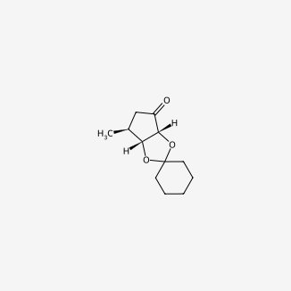 C[C@H]1CC(=O)[C@@H]2OC3(CCCCC3)O[C@H]12